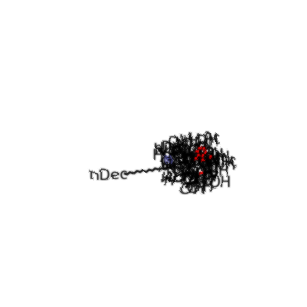 CCCCCCCCCCCCC/C=C/[C@@H](O)[C@H](CO[C@@H]1OC(CO)[C@@H](O[C@@H]2OC(CO)[C@H](O)[C@H](O[C@@H]3OC(CO)[C@@H](O)[C@H](O[C@@H]4OC(CO)[C@H](O)[C@H](O[C@@H]5OC(CO)[C@@H](O)[C@H](O[C@@H]6OC(CO)[C@H](O)[C@H](O[C@H]7OC(CO)[C@H](O)[C@H](O)C7NC(C)=O)C6O[C@H]6OC(C)[C@@H](O)C(O)[C@@H]6O)C5NC(C)=O)C4O)C3NC(C)=O)C2O)[C@H](O)C1O)NC(=O)CCCCCCCCCCCCCCCCCCCCCCC